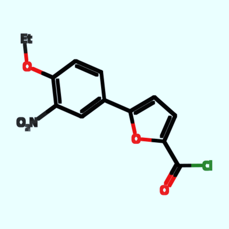 CCOc1ccc(-c2ccc(C(=O)Cl)o2)cc1[N+](=O)[O-]